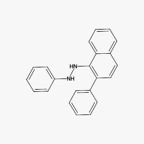 c1ccc(NNc2c(-c3ccccc3)ccc3ccccc23)cc1